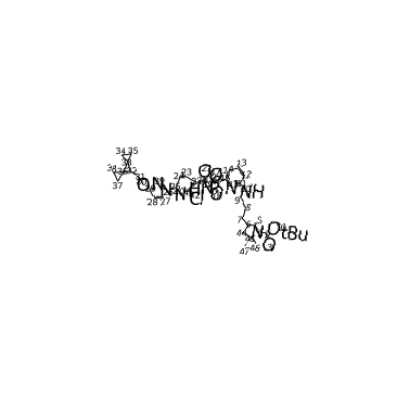 CC(C)(C)OC(=O)N1CC(CCCNc2cccc(S(=O)(=O)NC(=O)c3ccc(-n4ccc(OCC5C6(CC6)C56CC6)n4)nc3Cl)n2)CC1(C)C